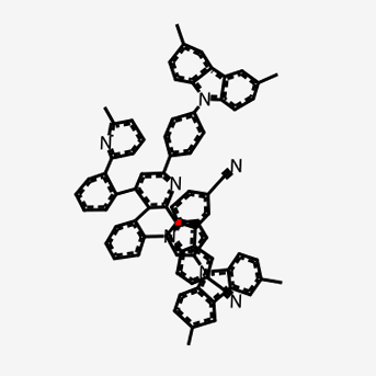 Cc1ccc2c(c1)c1cc(C)ccc1n2-c1ccc(-c2cc(-c3ccccc3-c3cccc(C)n3)c(-c3ccccc3-n3c4ccc(C#N)cc4c4cc(C#N)ccc43)c(-c3ccc(-n4c5ccc(C)cc5c5cc(C)ccc54)cc3)n2)cc1